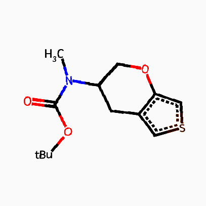 CN(C(=O)OC(C)(C)C)C1COc2cscc2C1